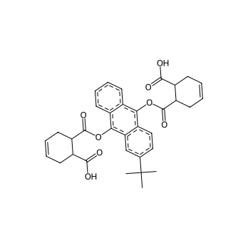 CC(C)(C)c1ccc2c(OC(=O)C3CC=CCC3C(=O)O)c3ccccc3c(OC(=O)C3CC=CCC3C(=O)O)c2c1